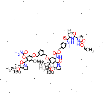 C=CCOC(=O)N[C@H](C(=O)N[C@@H](C)C(=O)Nc1ccc(COC(=O)Nc2cc(OCc3cccc(COc4cc(OC(N)=O)c(C(=O)N5CCC[C@H]5CO[Si](C)(C)C(C)(C)C)cc4OC)c3)c(OC)cc2C(=O)N2CCC[C@H]2CO[Si](C)(C)C(C)(C)C)cc1)C(C)C